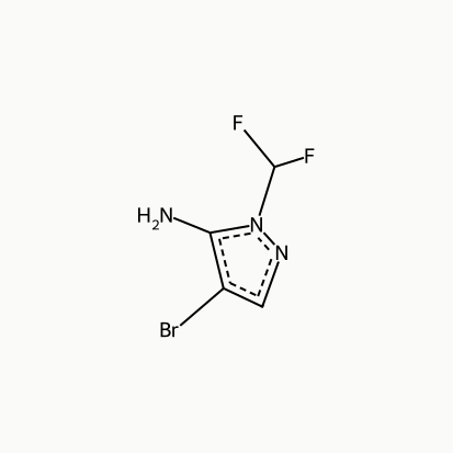 Nc1c(Br)cnn1C(F)F